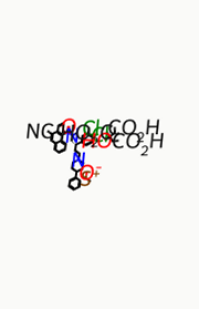 C=Cc1c(C#N)cc2ccccc2c1C(=O)N(C)C[C@@H](CCN1CCC(c2ccccc2[S+](C)[O-])CC1)c1ccc(Cl)c(Cl)c1.O=C(O)CC(O)(CC(=O)O)C(=O)O